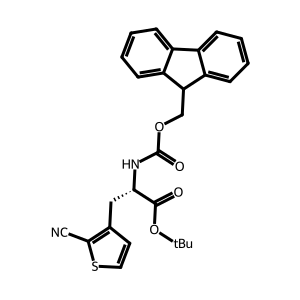 CC(C)(C)OC(=O)[C@H](Cc1ccsc1C#N)NC(=O)OCC1c2ccccc2-c2ccccc21